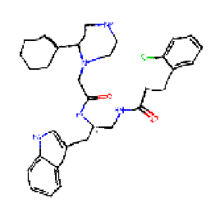 O=C(CCc1ccccc1Cl)NC[C@@H](Cc1c[nH]c2ccccc12)NC(=O)CN1CCNCC1C1CCCCC1